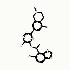 Cc1cc(-c2cnc(N)c(OC(C)c3c(Cl)ccc4ncoc34)n2)cc2c1CCN(C)C2